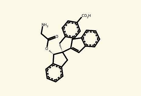 NCC(=O)O[C@H]1c2ccccc2C[C@]1(Cc1ccc(C(=O)O)cc1)C1=Cc2ccccc2C1